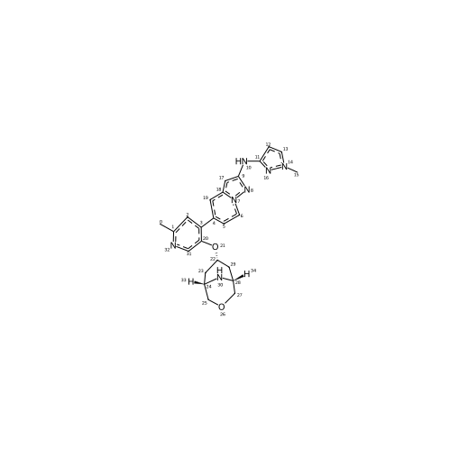 Cc1cc(-c2ccn3nc(Nc4ccn(C)n4)cc3c2)c(O[C@H]2C[C@H]3COC[C@@H](C2)N3)cn1